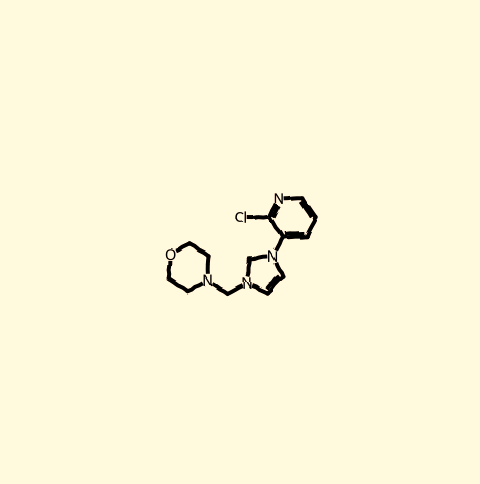 Clc1ncccc1N1C=CN(CN2CCOCC2)C1